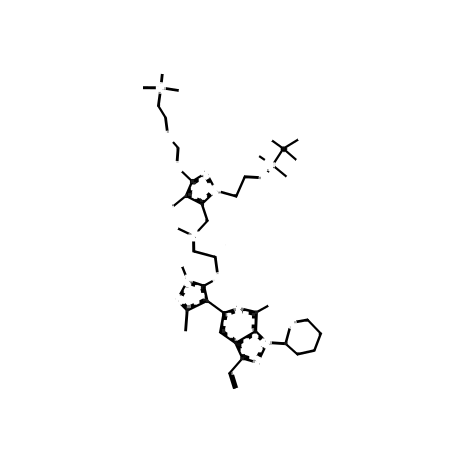 C=Cc1nn(C2CCCCO2)c2c(C)nc(-c3c(C)nn(C)c3O[C@@H](C)CN(C)Cc3c(I)c(OCOCC[Si](C)(C)C)nn3CCO[Si](C)(C)C(C)(C)C)cc12